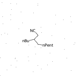 CCCCCCC(CC#N)CCCC